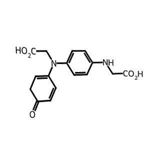 O=C(O)CNc1ccc(N(CC(=O)O)C2=CCC(=O)C=C2)cc1